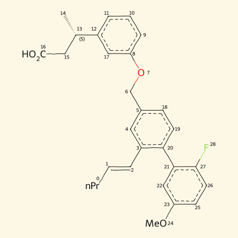 CCCC=Cc1cc(COc2cccc([C@@H](C)CC(=O)O)c2)ccc1-c1cc(OC)ccc1F